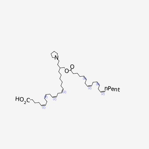 CCCCC/C=C\C/C=C\C/C=C\C/C=C\CCCC(=O)OCC(CCCCC/C=C\C/C=C\C/C=C\C/C=C\CCCC(=O)O)CCN1CCCC1